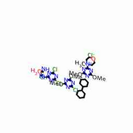 C1CCC(C2CCCCC2)CC1.COc1nc(Cl)nc(OC)n1.COc1nc(OC)nc([N+]2(C)CCOCC2)n1.Clc1nc(Cl)nc(Cl)n1.N=C=N.O.[Cl-]